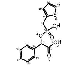 O=C(O)C(OP(=O)(O)Cc1cccs1)c1ccccc1